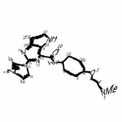 CNCCOC1CCC(NC(=O)c2nc(-n3ccnc3)nc3cc[nH]c23)CC1